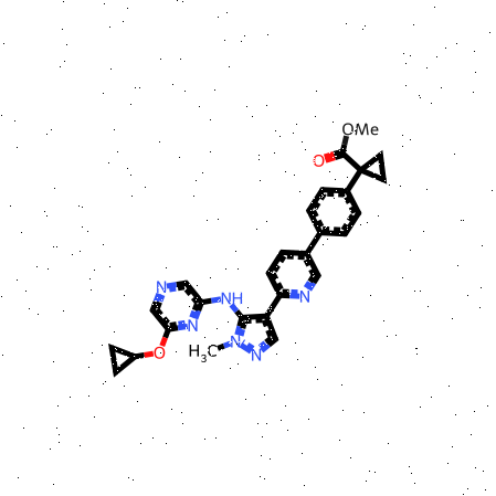 COC(=O)C1(c2ccc(-c3ccc(-c4cnn(C)c4Nc4cncc(OC5CC5)n4)nc3)cc2)CC1